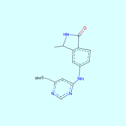 CSc1cc(Nc2ccc3c(c2)C(C)NC3=O)ncn1